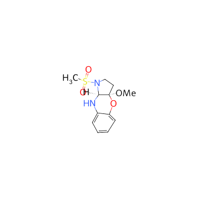 CO[C@@]12CCN(S(C)(=O)=O)[C@@H]1Nc1ccccc1O2